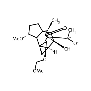 COCO[C@@H]1C[C@@](C)([S+](C)[O-])C(=O)[C@H](C)C23CC[C@H]4C[C@]41C2[C@H](OC)CC3